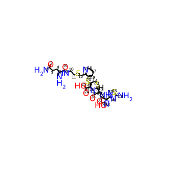 NC(=O)CC[C@H](N)C(=O)NCCSCc1ncccc1SC1=C(C(=O)O)N2C(=O)[C@@H](NC(=O)/C(=N\O)c3nsc(N)n3)[C@@H]2SC1